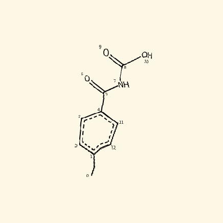 Cc1ccc(C(=O)NC(=O)O)cc1